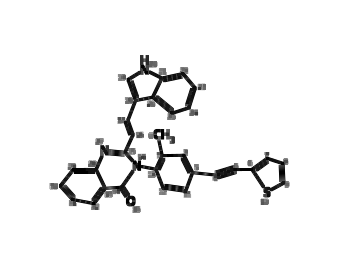 Cc1cc(C#Cc2cccs2)ccc1-n1c(C=Cc2c[nH]c3ccccc23)nc2ccccc2c1=O